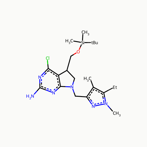 CCc1c(C)c(CN2CC(CO[Si](C)(C)C(C)(C)C)c3c(Cl)nc(N)nc32)nn1C